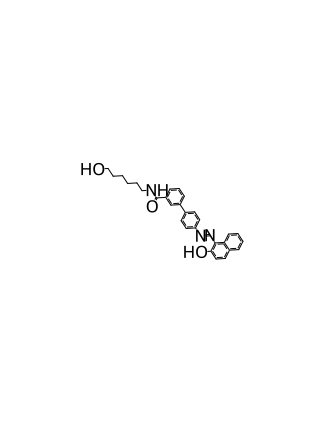 O=C(NCCCCCCO)c1cccc(-c2ccc(/N=N/c3c(O)ccc4ccccc34)cc2)c1